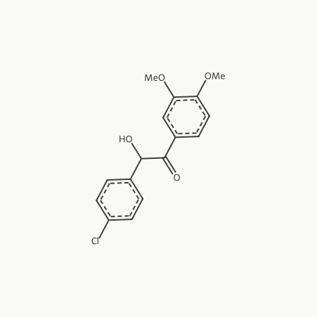 COc1ccc(C(=O)C(O)c2ccc(Cl)cc2)cc1OC